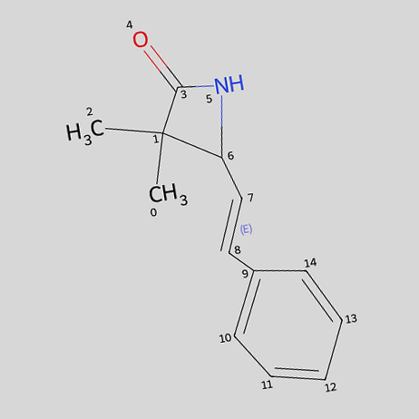 CC1(C)C(=O)NC1/C=C/c1ccccc1